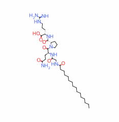 CCCCCCCCCCCCCCCC(=O)NCC(=O)N[C@@H](CCC(N)=O)C(=O)N1CCC[C@H]1C(=O)N[C@@H](CCCNC(=N)N)C(=O)O